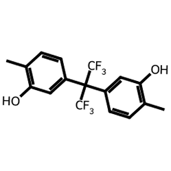 Cc1ccc(C(c2ccc(C)c(O)c2)(C(F)(F)F)C(F)(F)F)cc1O